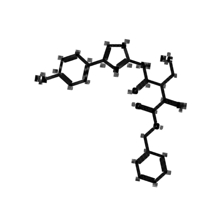 CCC(C(=N)C(=O)OCc1ccccc1)C(=O)Nc1nc(-c2ccc(N)cc2)cs1